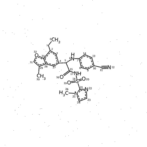 CCc1cc(C(Nc2ccc(C#N)cc2)C(=O)NS(=O)(=O)c2nccn2C)cc2c(C)coc12